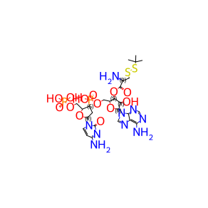 CC(C)(C)SSC[C@H](N)C(=O)O[C@@H]1C(COP(=O)(O)[C@H]2C[C@H](n3ccc(N)nc3=O)OC2COP(=O)(O)O)O[C@@H](n2cnc3c(N)ncnc32)[C@@H]1O